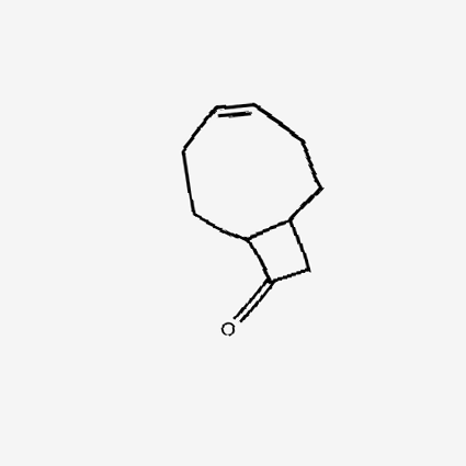 O=C1CC2CC/C=C\CCC12